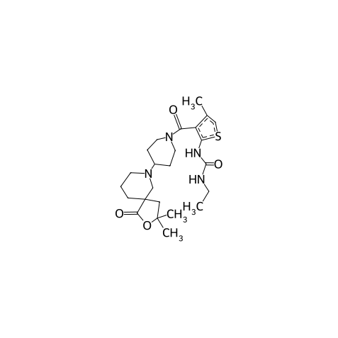 CCNC(=O)Nc1scc(C)c1C(=O)N1CCC(N2CCCC3(C2)CC(C)(C)OC3=O)CC1